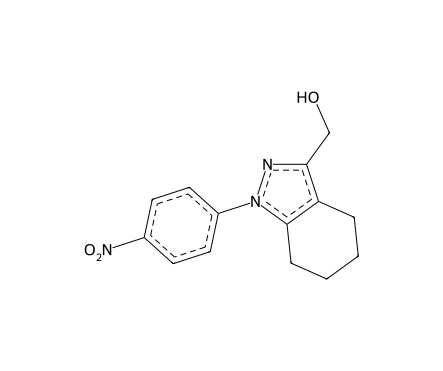 O=[N+]([O-])c1ccc(-n2nc(CO)c3c2CCCC3)cc1